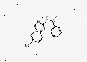 C[C@@H](Nc1ncc2cc(Br)ccc2n1)c1ccccc1